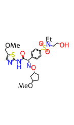 CCN(CCO)S(=O)(=O)c1ccc(/C(=N\O[C@@H]2CC[C@@H](OC)C2)C(=O)Nc2ncc(COC)s2)cc1